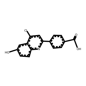 O=C(O)c1ccc(-c2cc(Cl)c3cc(O)ccc3n2)cc1